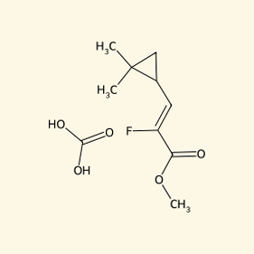 COC(=O)C(F)=CC1CC1(C)C.O=C(O)O